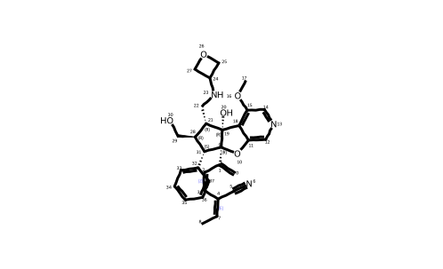 C=C(/C=C\C(C#N)=C/C)[C@@]12Oc3cncc(OC)c3[C@]1(O)[C@@H](CNC1COC1)[C@H](CO)[C@H]2c1ccccc1